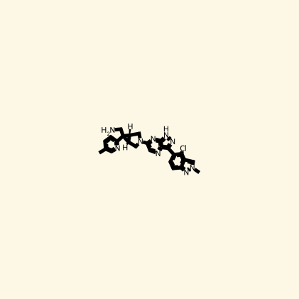 Cc1ccc(C2(CN)[C@@H]3CN(c4cnc5c(-c6ccc7nn(C)cc7c6Cl)n[nH]c5n4)C[C@@H]32)nc1